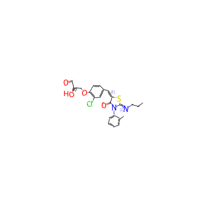 CCC/N=C1\S/C(=C/c2ccc(OC[C@@H](O)C=O)c(Cl)c2)C(=O)N1c1ccccc1C